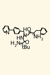 CC(C)(C)[C@H](N)C(=O)NN(Cc1ccc(-c2ccccn2)cc1)C[C@@H](O)[C@@H](N)Cc1ccccc1